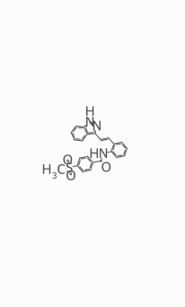 CS(=O)(=O)c1ccc(C(=O)Nc2ccccc2C=Cc2n[nH]c3ccccc23)cc1